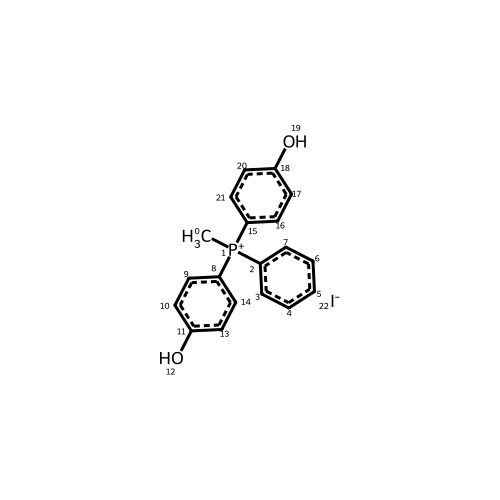 C[P+](c1ccccc1)(c1ccc(O)cc1)c1ccc(O)cc1.[I-]